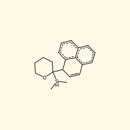 C[SiH](C)C1(C2C=Cc3cccc4cccc2c34)CCCCO1